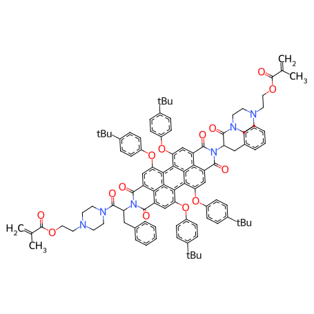 C=C(C)C(=O)OCCN1CCN(C(=O)C(Cc2ccccc2)N2C(=O)c3cc(Oc4ccc(C(C)(C)C)cc4)c4c5c(Oc6ccc(C(C)(C)C)cc6)cc6c7c(cc(Oc8ccc(C(C)(C)C)cc8)c(c8c(Oc9ccc(C(C)(C)C)cc9)cc(c3c48)C2=O)c75)C(=O)N(C(Cc2ccccc2)C(=O)N2CCN(CCOC(=O)C(=C)C)CC2)C6=O)CC1